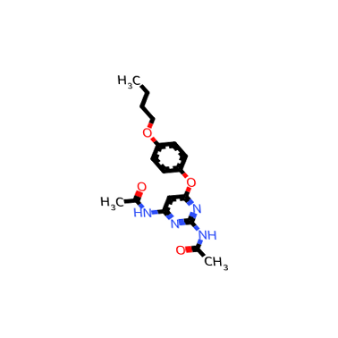 CCCCOc1ccc(Oc2cc(NC(C)=O)nc(NC(C)=O)n2)cc1